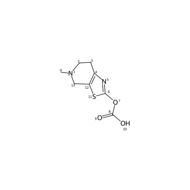 CN1CCc2nc(OC(=O)O)sc2C1